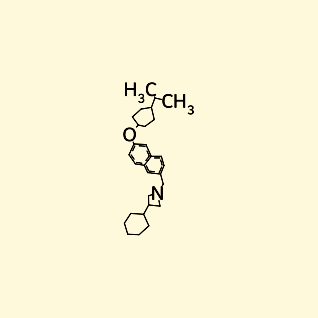 CC(C)C1CCC(Oc2ccc3cc(CN4CC(C5CCCCC5)C4)ccc3c2)CC1